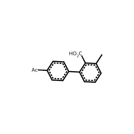 CC(=O)c1ccc(-c2cccc(C)c2C(=O)O)cc1